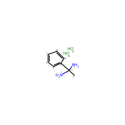 CC(N)(N)c1ccccc1.Cl.Cl